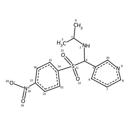 CC(C)NC(c1cccnc1)S(=O)(=O)c1ccc([N+](=O)[O-])cc1